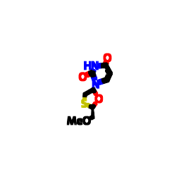 COC[C@@H]1O[C@H](n2ccc(=O)[nH]c2=O)CS1